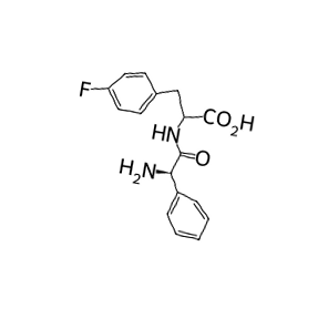 N[C@@H](C(=O)NC(Cc1ccc(F)cc1)C(=O)O)c1ccccc1